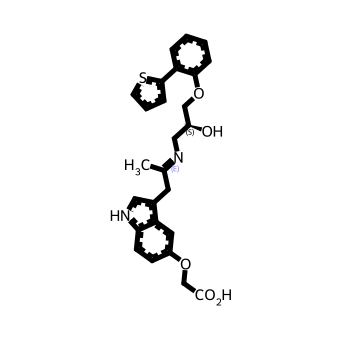 C/C(Cc1c[nH]c2ccc(OCC(=O)O)cc12)=N\C[C@H](O)COc1ccccc1-c1cccs1